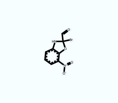 O=CC1(Br)Nc2cccc([N+](=O)[O-])c2O1